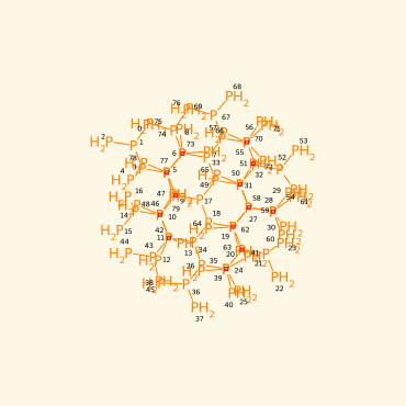 PP(P)P(P)P(P(P)P)P(P(P(P)P)P(P)P)P(P(P(P(P(P)P)P(P)P)P(P(P)P)P(P)P)P(P(P(P)P)P(P)P)P(P(P)P)P(P)P)P(P(P(P(P)P)P(P)P)P(P(P)P)P(P)P)P(P(P(P)P)P(P)P)P(P(P)P)P(P)P